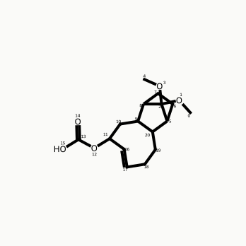 COC1(OC)C2CCC1C1CC(OC(=O)O)/C=C/CCC12